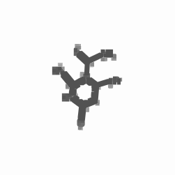 CCCc1cc(=O)[nH]c(=N)n1C(N)=S